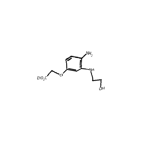 CCOC(=O)COc1ccc(N)c(NCCO)c1